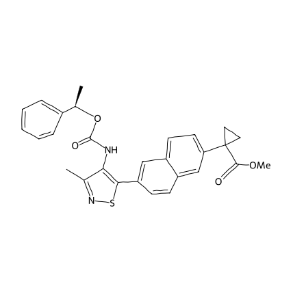 COC(=O)C1(c2ccc3cc(-c4snc(C)c4NC(=O)O[C@H](C)c4ccccc4)ccc3c2)CC1